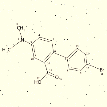 CN(C)c1ccc(-c2ccc(Br)cc2)c(C(=O)O)c1